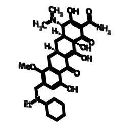 CCN(Cc1cc(O)c2c(c1OC)C[C@H]1C[C@H]3[C@H](N(C)C)C(O)=C(C(N)=O)C(=O)[C@@]3(O)C(O)=C1C2=O)C1CCCCC1